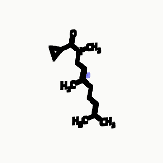 CC(C)=CCC/C(C)=C/CN(C)C(=O)C1CC1